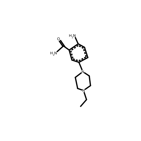 CCN1CCN(c2ccc(N)c(C(N)=O)c2)CC1